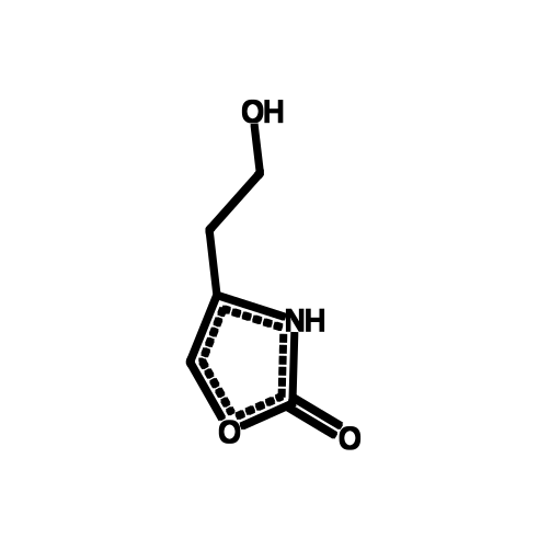 O=c1[nH]c(CCO)co1